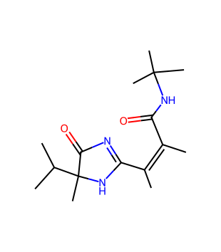 C/C(C(=O)NC(C)(C)C)=C(\C)C1=NC(=O)C(C)(C(C)C)N1